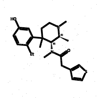 CCc1ccc(O)cc1C1(C)CCN(C)[C@H](C)[C@@H]1N(C)C(=O)Cc1ccsc1